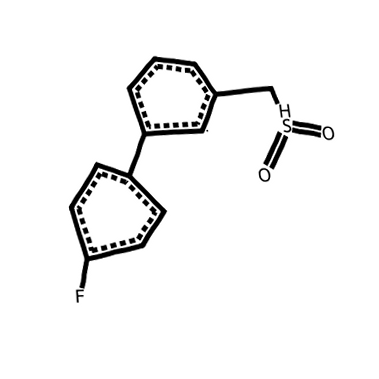 O=[SH](=O)Cc1[c]c(-c2ccc(F)cc2)ccc1